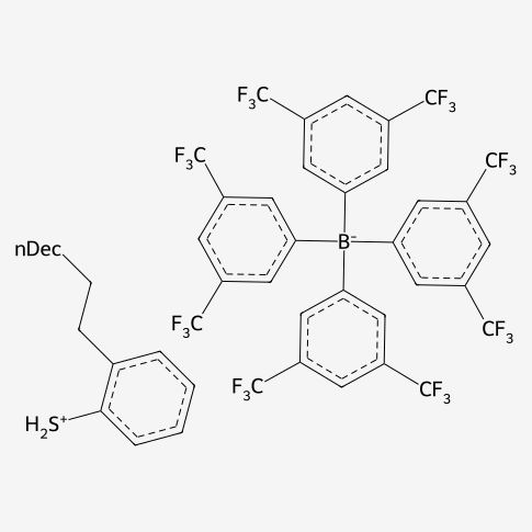 CCCCCCCCCCCCc1ccccc1[SH2+].FC(F)(F)c1cc([B-](c2cc(C(F)(F)F)cc(C(F)(F)F)c2)(c2cc(C(F)(F)F)cc(C(F)(F)F)c2)c2cc(C(F)(F)F)cc(C(F)(F)F)c2)cc(C(F)(F)F)c1